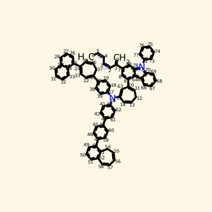 C=C(/C=C\C=C/C)c1cc(C2=CCC=CC(N(c3ccc(C4=CC=C(c5cccc6ccccc56)C=CC4)cc3)c3ccc(-c4ccc(-c5cccc6c5CC=CC=C6)cc4)cc3)=C2)c2c3ccccc3n(-c3ccccc3)c2c1